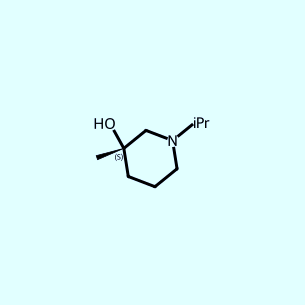 CC(C)N1CCC[C@](C)(O)C1